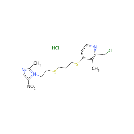 Cc1c(SCCCSCCn2c([N+](=O)[O-])cnc2C)ccnc1CCl.Cl